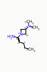 CCC/C=C(/N)N1CC(N(C)C)C1